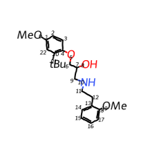 COc1ccc(OCC(O)CNCCc2ccccc2OC)c(C(C)(C)C)c1